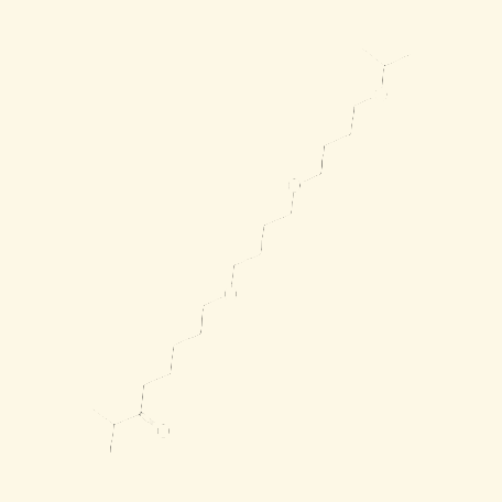 CC(C)OCCCCOCCCCOCCCCCC(=O)C(C)C